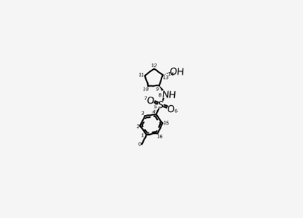 Cc1ccc(S(=O)(=O)N[C@H]2CCC[C@@H]2O)cc1